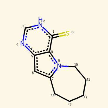 S=c1[nH]cnc2cc3n(c12)CCCCC3